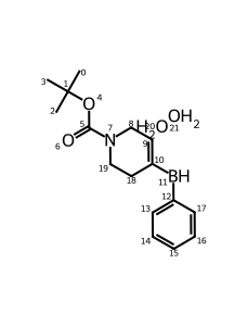 CC(C)(C)OC(=O)N1CC=C(Bc2ccccc2)CC1.O.O